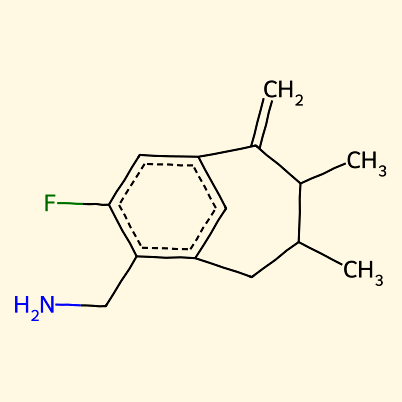 C=C1c2cc(F)c(CN)c(c2)CC(C)C1C